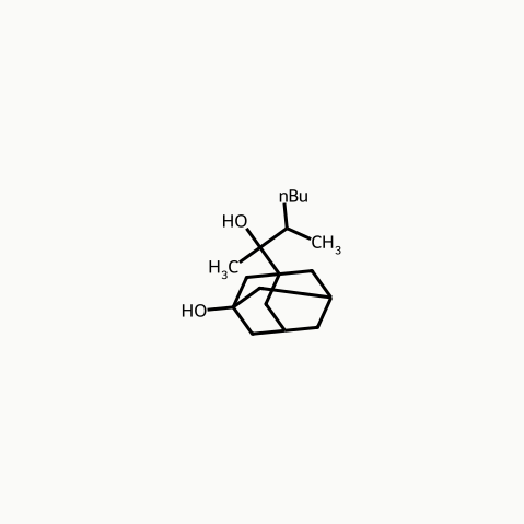 CCCCC(C)C(C)(O)C12CC3CC(CC(O)(C3)C1)C2